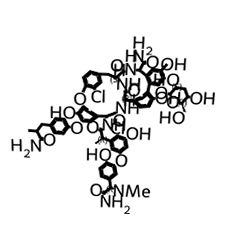 CN[C@@H](C(N)=O)c1ccc(O)c(Oc2cc(O)c(Cl)c([C@@H](C)C(=O)NC3C(=O)N[C@H]4C(=O)N[C@@H](Cc5ccc(c(Cl)c5)Oc5cc3cc(Oc3ccc(CC(C)C(N)=O)cc3)c5O)C(=O)NC(C(N)=O)c3cc(O)cc(OC5O[C@H](CO)C(O)C[C@@H]5O)c3-c3cc4ccc3O)c2)c1